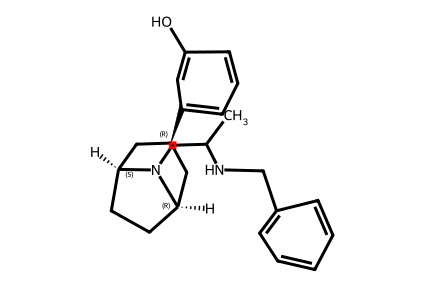 CC(CN1[C@@H]2CC[C@H]1C[C@@H](c1cccc(O)c1)C2)NCc1ccccc1